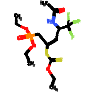 CCOC(=S)SC(CC(NC(C)=O)C(F)(F)F)CP(=O)(OCC)OCC